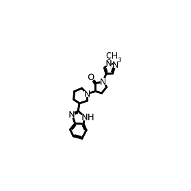 Cn1cc(N2CCC(N3CCCC(c4nc5ccccc5[nH]4)C3)C2=O)cn1